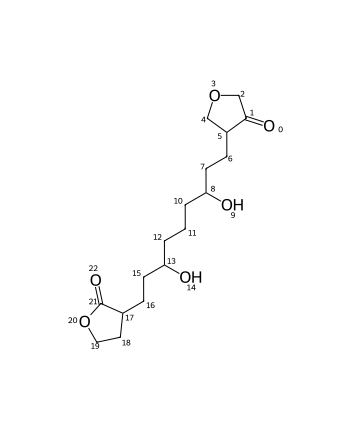 O=C1COCC1CCC(O)CCCC(O)CCC1CCOC1=O